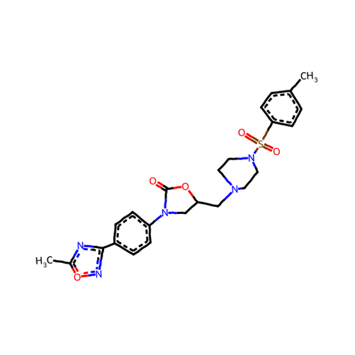 Cc1ccc(S(=O)(=O)N2CCN(CC3CN(c4ccc(-c5noc(C)n5)cc4)C(=O)O3)CC2)cc1